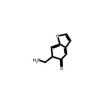 NCC1C=c2occc2=CC1=O